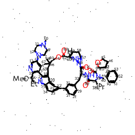 CCn1c(-c2cc(N3CCN(C)CC3)cnc2[C@H](C)OC)c2c3cc(ccc31)-c1cccc(c1)C[C@H](NC(=O)C(C(C)C)N(C)C(=O)[C@@H]1OCC[C@@H]1c1ccccc1)C(=O)N1CCC[C@H](N1)C(=O)OCC(C)(C)C2